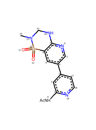 CC(=O)Nc1cc(-c2cnc3c(c2)S(=O)(=O)N(C)CN3)ccn1